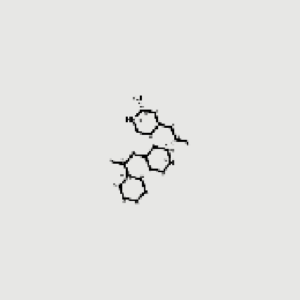 CC[C@@H]1CC(CC(C)[C@H]2CC(CC(C)N3CCCCC3)CCN2)CCN1